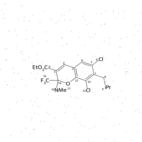 CCOC(=O)C1=Cc2cc(Cl)c(CC(C)C)c(Cl)c2OC1(NC)C(F)(F)F